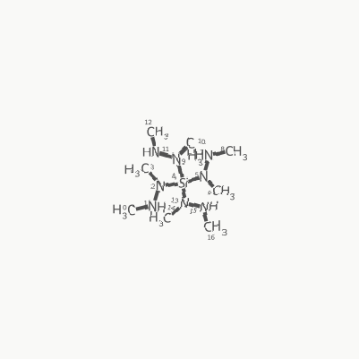 CNN(C)[Si](N(C)NC)(N(C)NC)N(C)NC